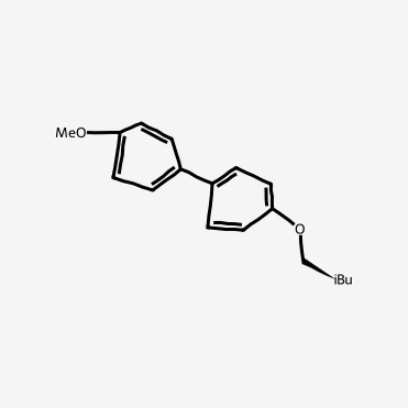 CC[C@H](C)COc1ccc(-c2ccc(OC)cc2)cc1